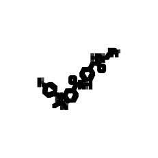 Cc1nc2ccc(C(=O)Nc3ccc(CC(=O)NCC(C)C)cc3)cc2n1-c1ccc(F)cc1